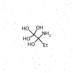 CCC(N)(O)C(O)(O)O